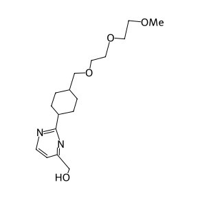 COCCOCCOCC1CCC(c2nccc(CO)n2)CC1